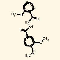 COc1ccc(C(=O)NNC(=O)c2ccccc2OC)cc1OC